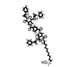 O=C(O)CCCCCCCCCCCNC(=O)[C@@H]1CN(C(=O)c2ccc(C(=O)N3C[C@@H](C(=O)N[C@H]4C[C@@H]4c4ccccc4)[C@H](C(=O)N[C@H]4C[C@@H]4c4ccccc4)C3)cc2)C[C@H]1C(=O)N[C@H]1C[C@@H]1c1ccccc1